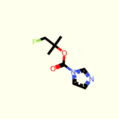 CC(C)(CF)OC(=O)n1ccnc1